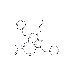 COCCN1C[C@H](Cc2ccccc2)N2/C=C(/C(C)=O)COC/C(OCc3ccccc3)=C\2C1=O